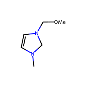 COCN1C=CN(C)C1